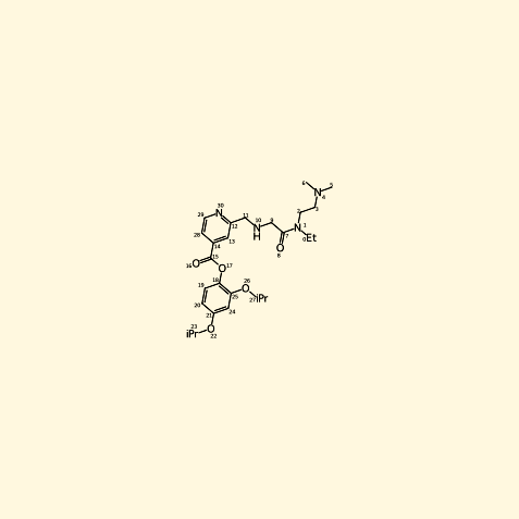 CCN(CCN(C)C)C(=O)CNCc1cc(C(=O)Oc2ccc(OC(C)C)cc2OC(C)C)ccn1